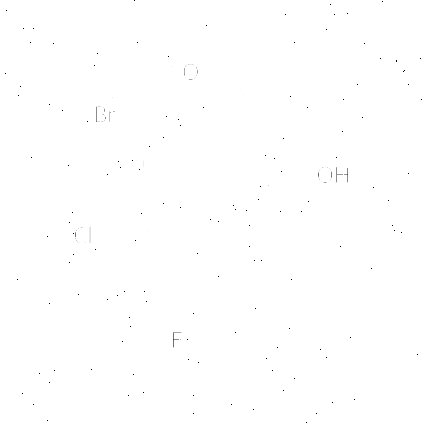 CC(=O)c1c(O)cc(F)c(Cl)c1Br